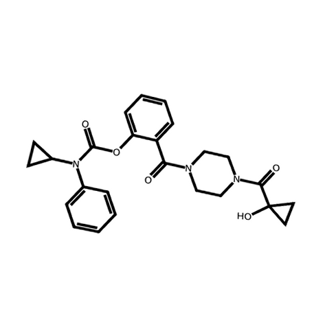 O=C(c1ccccc1OC(=O)N(c1ccccc1)C1CC1)N1CCN(C(=O)C2(O)CC2)CC1